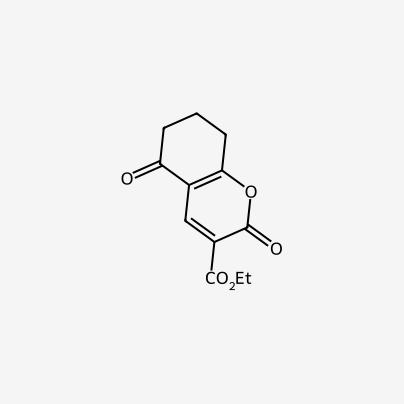 CCOC(=O)c1cc2c(oc1=O)CCCC2=O